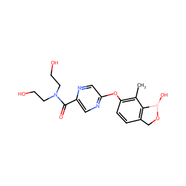 Cc1c(Oc2cnc(C(=O)N(CCO)CCO)cn2)ccc2c1B(O)OC2